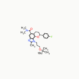 Cc1nc2cc(C(=O)N(C)C)c3c(c2n1CCCO[Si](C)(C)C(C)(C)C)OC(c1ccc(F)cc1)CC3